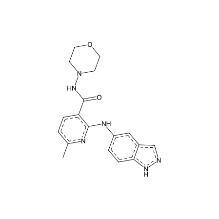 Cc1ccc(C(=O)NN2CCOCC2)c(Nc2ccc3[nH]ncc3c2)n1